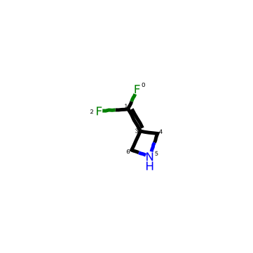 FC(F)=C1CNC1